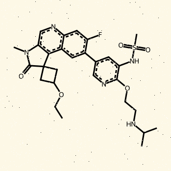 CCOC1CC2(C1)C(=O)N(C)c1cnc3cc(F)c(-c4cnc(OCCNC(C)C)c(NS(C)(=O)=O)c4)cc3c12